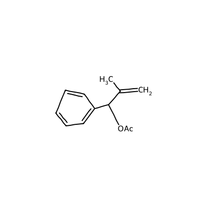 C=C(C)C(OC(C)=O)c1ccccc1